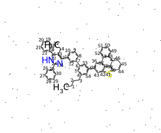 CCCCc1cc(-c2cccc(C3=C(CC)C(c4ccccc4)NC(c4ccccc4)=N3)c2)cc(-c2cc3c4c5c(sc4c2)C=CCC5c2ccccc2-3)c1